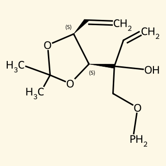 C=C[C@@H]1OC(C)(C)O[C@@H]1C(O)(C=C)COP